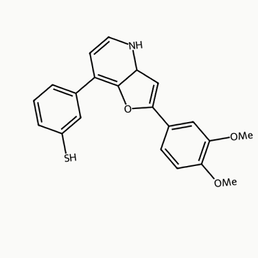 COc1ccc(C2=CC3NC=CC(c4cccc(S)c4)=C3O2)cc1OC